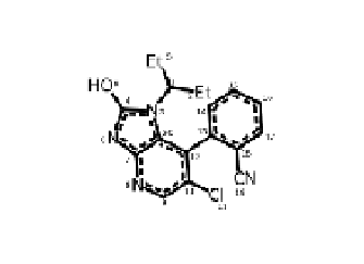 CCC(CC)n1c(O)nc2ncc(Cl)c(-c3ccccc3C#N)c21